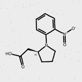 O=C(O)C[C@@H]1CCCN1c1ccccc1[N+](=O)[O-]